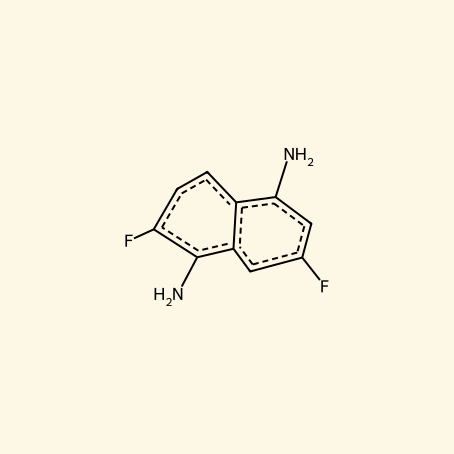 Nc1cc(F)cc2c(N)c(F)ccc12